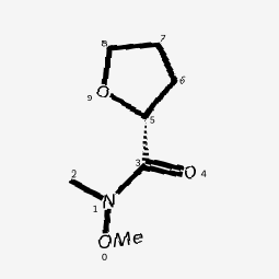 CON(C)C(=O)[C@H]1CCCO1